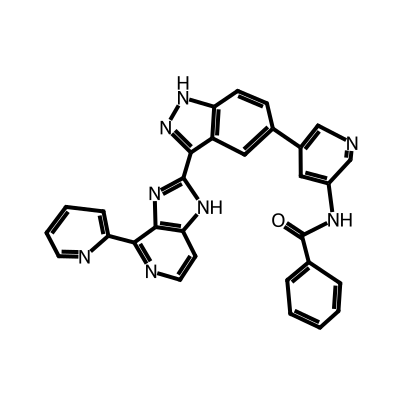 O=C(Nc1cncc(-c2ccc3[nH]nc(-c4nc5c(-c6ccccn6)nccc5[nH]4)c3c2)c1)c1ccccc1